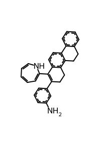 Nc1cccc(C2=C(C3=CC=CC=CN3)c3ccc4c(c3CC2)CCc2ccccc2-4)c1